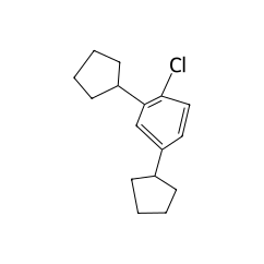 Clc1ccc(C2CCCC2)cc1C1CCCC1